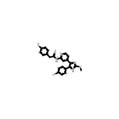 CSc1nc(-c2ccnc(NC(=O)Cc3ccc(F)cc3)c2)c(-c2ccc(F)cc2)[nH]1